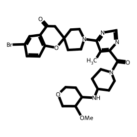 COC1COCCC1NC1CCN(C(=O)c2ncnc(N3CCC4(CC3)CC(=O)c3cc(Br)ccc3O4)c2C)CC1